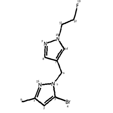 Cc1cc(Br)n(Cc2cnn(CCF)c2)n1